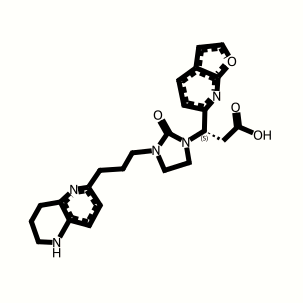 O=C(O)C[C@@H](c1ccc2ccoc2n1)N1CCN(CCCc2ccc3c(n2)CCCN3)C1=O